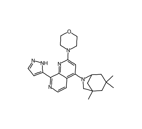 CC1(C)CC2CC(C)(CN2c2cc(N3CCOCC3)nc3c(-c4ccn[nH]4)nccc23)C1